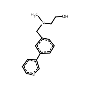 CN(CCO)Cc1cccc(-c2c[c]cnc2)c1